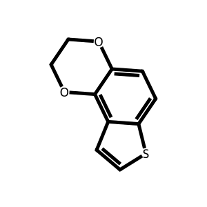 c1cc2c3c(ccc2s1)OCCO3